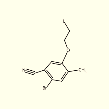 Cc1cc(Br)c(C#N)cc1OCCI